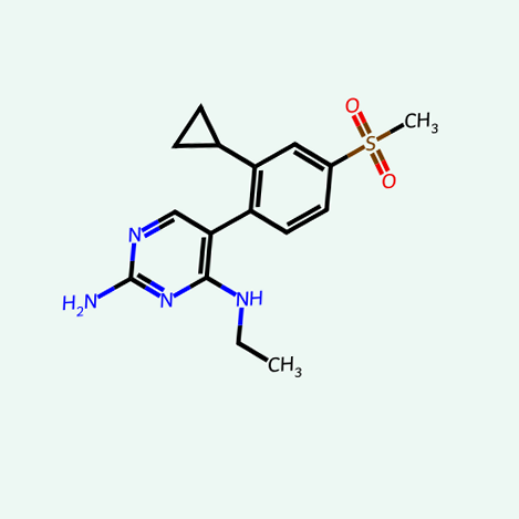 CCNc1nc(N)ncc1-c1ccc(S(C)(=O)=O)cc1C1CC1